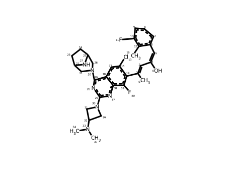 C/C(=C\C(O)=C/c1cccc(F)c1C)c1c(Cl)cc2c(N3CC4CCC(C3)N4)nc(N3CC(N(C)C)C3)nc2c1F